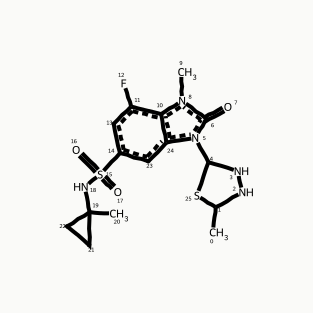 CC1NNC(n2c(=O)n(C)c3c(F)cc(S(=O)(=O)NC4(C)CC4)cc32)S1